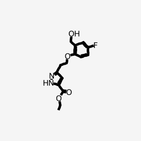 CCOC(=O)c1cc(CCOc2ccc(F)cc2CO)n[nH]1